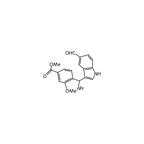 CCCC(c1ccc(C(=O)OC)cc1OC)c1c[nH]c2ccc(C=O)cc12